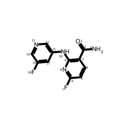 NC(=O)c1ccc(F)nc1Nc1cncc(F)c1